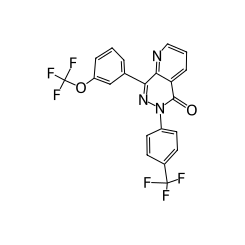 O=c1c2cccnc2c(-c2cccc(OC(F)(F)F)c2)nn1-c1ccc(C(F)(F)F)cc1